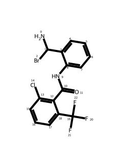 NC(Br)c1ccccc1NC(=O)c1c(Cl)cccc1C(F)(F)F